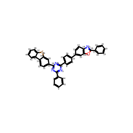 c1ccc(-c2nc(-c3ccc(-c4ccc5nc(-c6ccccc6)oc5c4)cc3)nc(-c3ccc4c(c3)sc3ccccc34)n2)cc1